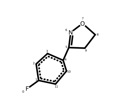 Fc1ccc(C2=NOCC2)cc1